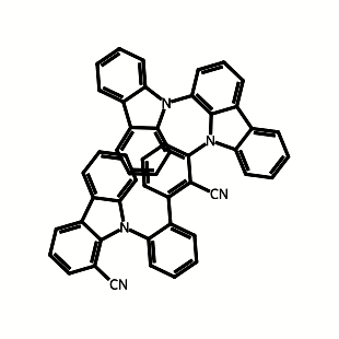 N#Cc1c(-c2ccccc2-n2c3ccccc3c3cccc(C#N)c32)cccc1-n1c2ccccc2c2cccc(-n3c4ccccc4c4ccccc43)c21